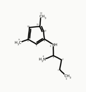 CCCC(N)Nc1cc(C)cc(C)c1